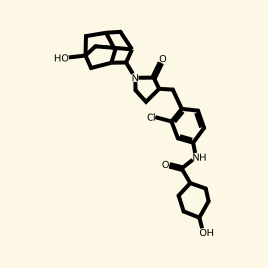 O=C(Nc1ccc(CC2CCN(C3C4CC5CC3CC(O)(C5)C4)C2=O)c(Cl)c1)C1CCC(O)CC1